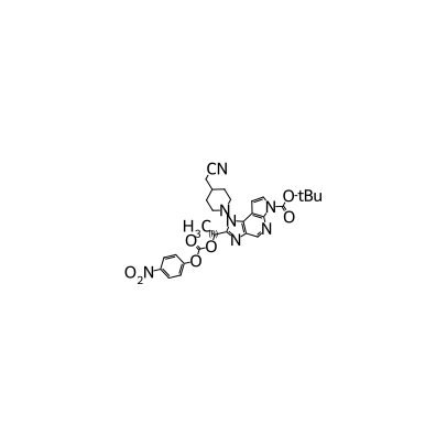 C[C@@H](OC(=O)Oc1ccc([N+](=O)[O-])cc1)c1nc2cnc3c(ccn3C(=O)OC(C)(C)C)c2n1N1CCC(CC#N)CC1